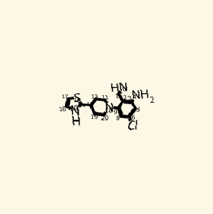 N=Cc1c(N)cc(Cl)cc1N1CCC(C2NC=CS2)CC1